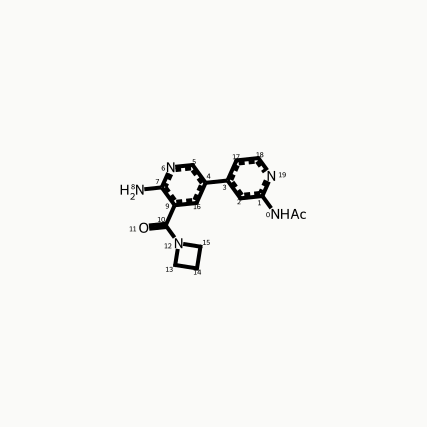 CC(=O)Nc1cc(-c2cnc(N)c(C(=O)N3CCC3)c2)ccn1